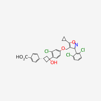 O=C(O)c1ccc([C@H]2C[C@@](O)(c3ccc(OCc4c(-c5c(Cl)cccc5Cl)noc4C4CC4)cc3Cl)C2)cc1